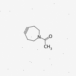 CC(=O)N1CCC#CCC1